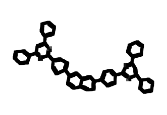 c1ccc(-c2cc(-c3ccccc3)nc(-c3ccc(-c4ccc5ccc(-c6ccc(-c7nc(-c8ccccc8)cc(-c8ccccc8)n7)cc6)cc5c4)cc3)n2)cc1